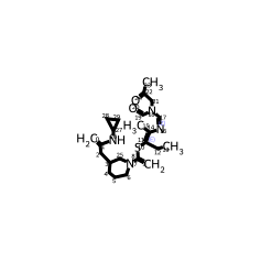 C=C(CC1CCCN(C(=C)S/C(CC)=C(C)/N=C\N(C=O)CC(C)=O)C1)NC1CC1